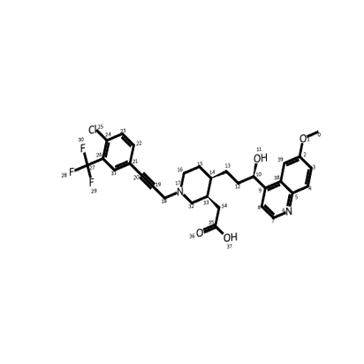 COc1ccc2nccc([C@H](O)CC[C@@H]3CCN(CC#Cc4ccc(Cl)c(C(F)(F)F)c4)C[C@@H]3CC(=O)O)c2c1